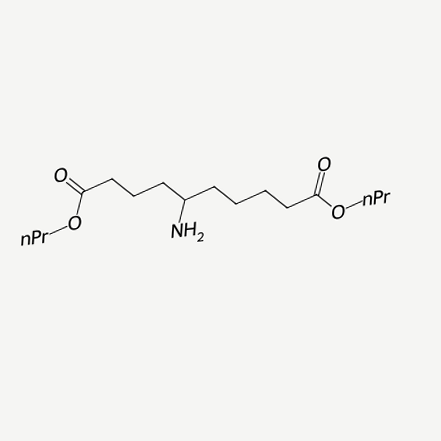 CCCOC(=O)CCCCC(N)CCCC(=O)OCCC